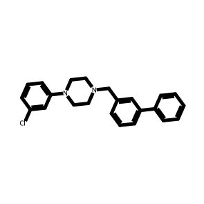 Clc1cccc(N2CCN(Cc3cccc(-c4ccccc4)c3)CC2)c1